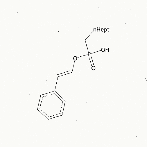 CCCCCCCCP(=O)(O)OC=Cc1ccccc1